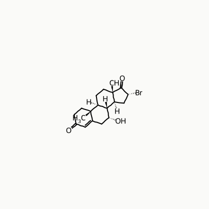 C[C@]12CCC(=O)C=C1C[C@@H](O)[C@@H]1[C@@H]2CC[C@]2(C)C(=O)[C@H](Br)C[C@@H]12